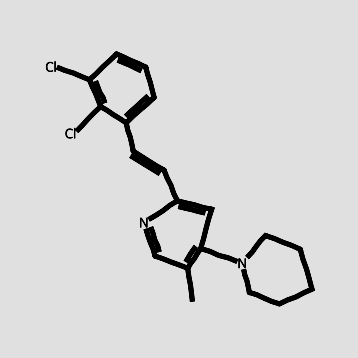 Cc1cnc(/C=C/c2cccc(Cl)c2Cl)cc1N1CCCCC1